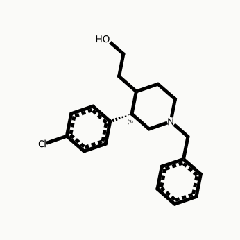 OCCC1CCN(Cc2ccccc2)C[C@@H]1c1ccc(Cl)cc1